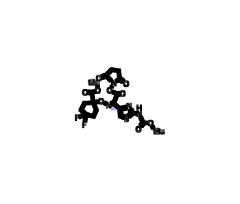 CC(C)(C)OC(=O)Nc1nc(/C(=N/OC2(C(=O)OC(C)(C)C)CCC(F)(F)CC2)C(=O)ON2C(=O)CCC2=O)cs1